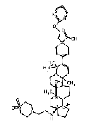 CC1(C)C(C2=CCC(CCOc3ncccn3)(C(=O)O)CC2)=CCC2(C)C1CCC1(C)C2CCC2[C@H]3CCC[C@]3(NCCN3CCS(=O)(=O)CC3)CC[C@]21C